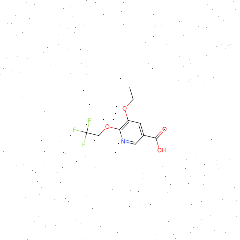 CCOc1cc(C(=O)O)cnc1OCC(F)(F)F